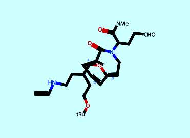 C=CNCCC(CCOC(C)(C)C)COC1=C\CN(C(CCC=O)C(=O)NC)C(=O)/C(C)=C/C=C\1